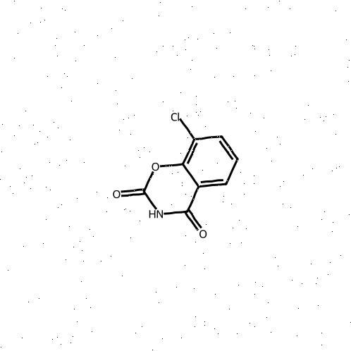 O=c1[nH]c(=O)c2cccc(Cl)c2o1